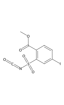 COC(=O)c1ccc(I)cc1S(=O)(=O)N=C=O